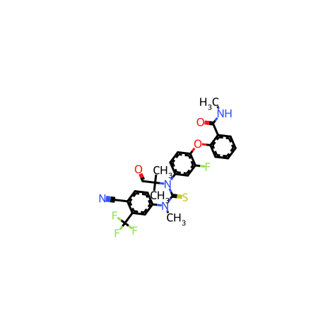 CNC(=O)c1ccccc1Oc1ccc(N(C(=S)N(C)c2ccc(C#N)c(C(F)(F)F)c2)C(C)(C)C=O)cc1F